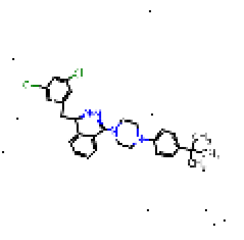 CC(C)(C)c1ccc(N2CCN(c3nnc(Cc4cc(Cl)cc(Cl)c4)c4ccccc34)CC2)cc1